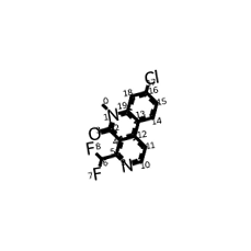 Cn1c(=O)c2c(C(F)F)nccc2c2ccc(Cl)cc21